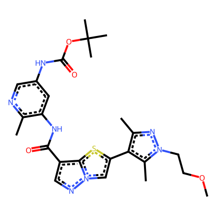 COCCn1nc(C)c(-c2cn3ncc(C(=O)Nc4cc(NC(=O)OC(C)(C)C)cnc4C)c3s2)c1C